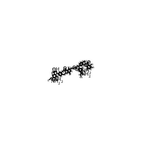 CCN(N)c1ccc(C(CC(=O)O)c2ccc3c(c2)CN(C(=O)c2c(C)c(C)cc(CCOC(=O)CC(c4ccc5c(c4)CN(C(=O)c4c(C)c(C)cc(C)c4C)CC5)c4ccc(N(N)CC)c(N)c4C)c2C)CC3)c(C)c1N